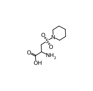 NC(CS(=O)(=O)N1CCCCC1)C(=O)O